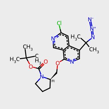 CC(C)(C)OC(=O)N1CCC[C@@H]1COc1ncc(C(C)(C)N=[N+]=[N-])c2cc(Cl)ncc12